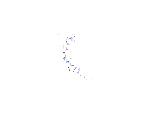 COCc1nc2cc([C@H]3CC[C@H](C(=O)C(=O)Nc4cnc(N)c(C)c4)CN3)ccc2s1